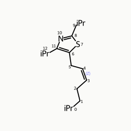 CC(C)CC/C=C\Cc1sc(C(C)C)nc1C(C)C